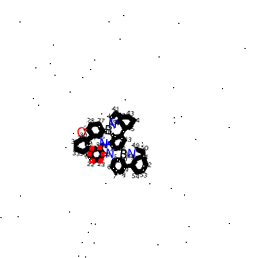 c1ccc(N2c3cccc4c3B(c3cc5c6c(c32)N(c2ccccc2)c2c(ccc3oc7ccccc7c23)B6n2ccc3cccc-5c32)n2ccc3cccc-4c32)cc1